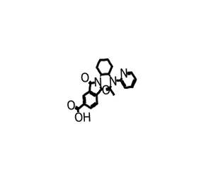 CC(=O)N(c1ccccn1)[C@@H]1CCCC[C@H]1N1Cc2ccc(C(=O)O)cc2C1=O